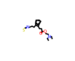 CCN(CC)CCOC(=O)CCC1c2cccc(c2)C1CCCN=C=S